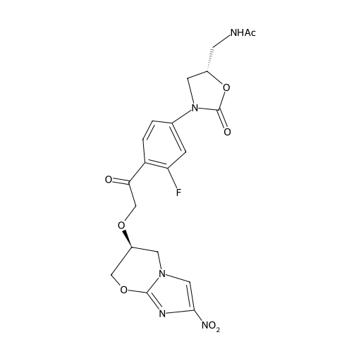 CC(=O)NC[C@H]1CN(c2ccc(C(=O)CO[C@@H]3COc4nc([N+](=O)[O-])cn4C3)c(F)c2)C(=O)O1